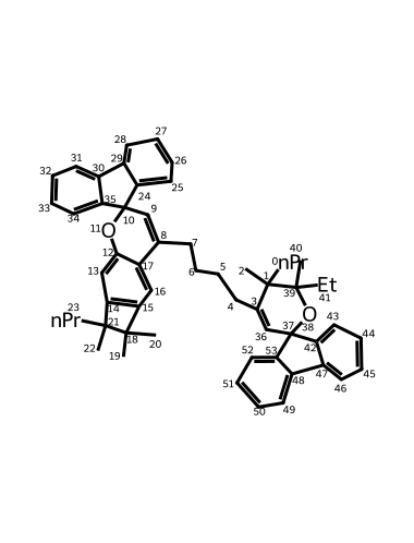 CCCC1(C)C(CCCCC2=CC3(Oc4cc5c(cc42)C(C)(C)C5(C)CCC)c2ccccc2-c2ccccc23)=CC2(OC1(C)CC)c1ccccc1-c1ccccc12